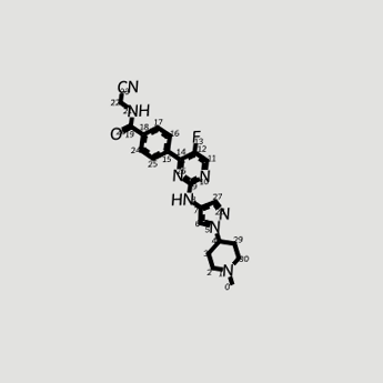 CN1CCC(n2cc(Nc3ncc(F)c(-c4ccc(C(=O)NCC#N)cc4)n3)cn2)CC1